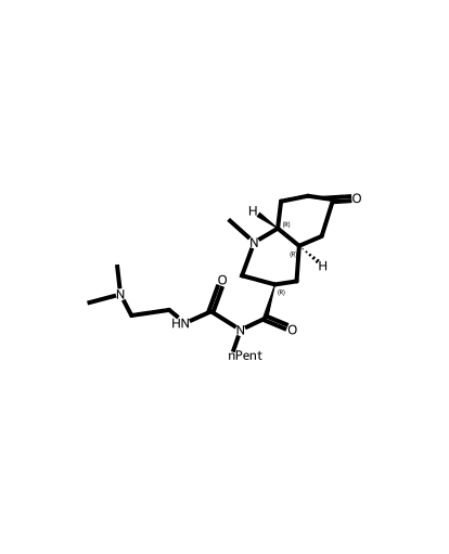 CCCCCN(C(=O)NCCN(C)C)C(=O)[C@@H]1C[C@@H]2CC(=O)CC[C@H]2N(C)C1